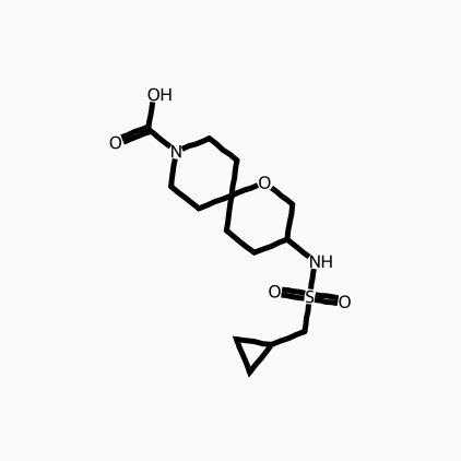 O=C(O)N1CCC2(CCC(NS(=O)(=O)CC3CC3)CO2)CC1